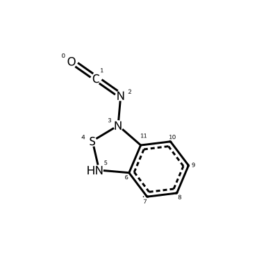 O=C=NN1SNc2[c]cccc21